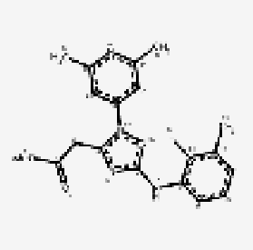 COC(=O)Cc1nc(Nc2cccc(C(F)(F)F)c2F)nn1-c1cc(C)nc(C)c1